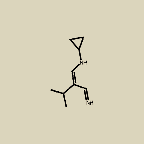 CC(C)/C(C=N)=C/NC1CC1